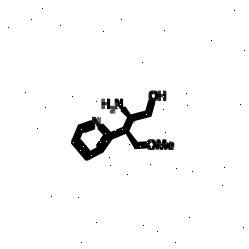 COC[C@@H](c1ccccn1)[C@@H](N)CO